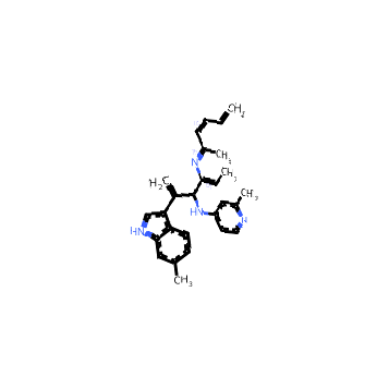 C=C\C=C/C(C)=N/C(=C\C)C(Nc1ccnc(C)c1)C(=C)c1c[nH]c2cc(C)ccc12